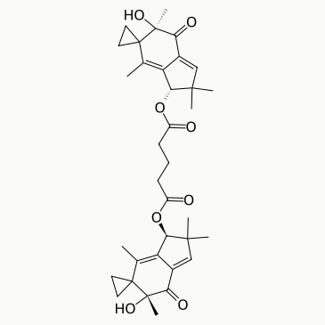 CC1=C2C(=CC(C)(C)[C@@H]2OC(=O)CCCC(=O)O[C@@H]2C3=C(C)C4(CC4)[C@@](C)(O)C(=O)C3=CC2(C)C)C(=O)[C@](C)(O)C12CC2